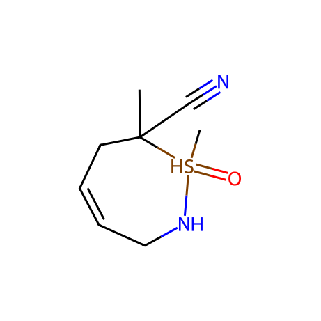 CC1(C#N)CC=CCN[SH]1(C)=O